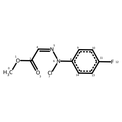 COC(=O)/C=N\N(Cl)c1ccc(F)cc1